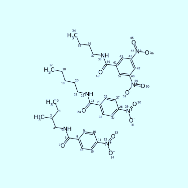 CCC(C)CNC(=O)c1ccc([N+](=O)[O-])cc1.CCCCCNC(=O)c1ccc([N+](=O)[O-])cc1.CCCCNC(=O)c1cc([N+](=O)[O-])cc([N+](=O)[O-])c1